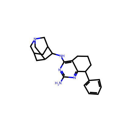 Nc1nc(NC2C3CC4CC2CN(C4)C3)c2c(n1)C(c1ccccc1)CCC2